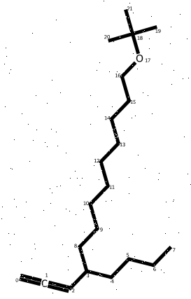 C=C=CC(CCCC)CCCCCCCCCOC(C)(C)C